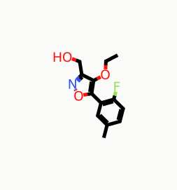 CCOc1c(CO)noc1-c1cc(C)ccc1F